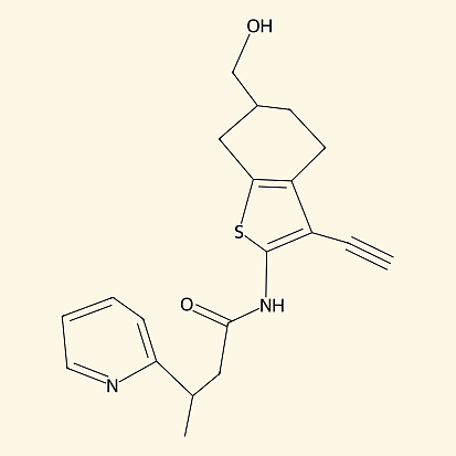 C#Cc1c(NC(=O)CC(C)c2ccccn2)sc2c1CCC(CO)C2